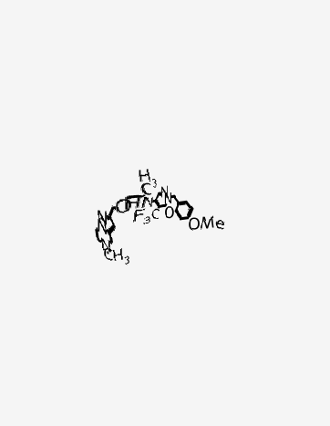 COc1ccc(Cn2ncc(N[C@@H](C)COCc3cc4n(n3)CCN(C)C4)c(C(F)(F)F)c2=O)cc1